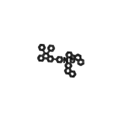 c1ccc(-c2c(-c3ccccc3)c3cc(-c4ccc(N(c5ccc6c(ccc7ccccc76)c5)c5cccc6c5oc5c7ccccc7ccc65)cc4)ccc3c3ccccc23)cc1